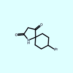 CC(C)C1CCC2(CC1)NC(=O)CC2=O